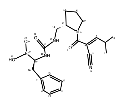 CC(C)/C=C(\C#N)C(=O)N1CCC[C@H]1CNC(=O)N[C@@H](Cc1ccccc1)B(O)O